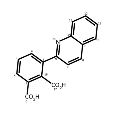 O=C(O)c1cccc(-c2ccc3ccccc3n2)c1C(=O)O